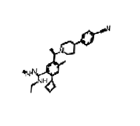 C=N/N=C(\NCC)c1cc(C(=C)N2CCC(c3ccc(C#N)cc3)CC2)c(C)cc1C1CCC1